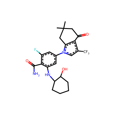 CC1(C)CC(=O)c2c(C(F)(F)F)cn(-c3cc(F)c(C(N)=O)c(NC4CCCCC4O)c3)c2C1